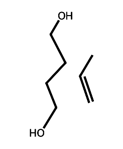 C=CC.OCCCCO